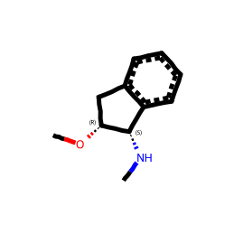 CN[C@H]1c2ccccc2C[C@H]1OC